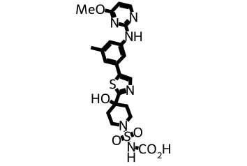 COc1ccnc(Nc2cc(C)cc(-c3cnc(C4(O)CCN(S(=O)(=O)NC(=O)O)CC4)s3)c2)n1